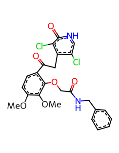 COc1ccc(C(=O)Cc2c(Cl)c[nH]c(=O)c2Cl)c(OCC(=O)NCc2ccccc2)c1OC